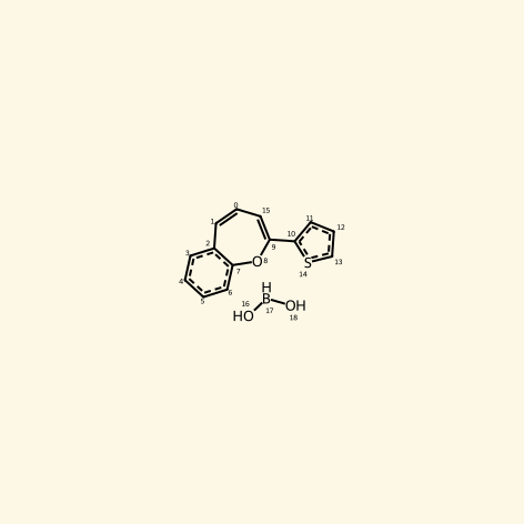 C1=Cc2ccccc2OC(c2cccs2)=C1.OBO